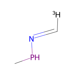 [3H]/C=N/PC